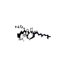 C=C(N)CCC(NC)C(=O)NC1CSC/C=C(/CC/C=C(\C)CCC=C(C)C)NNC1=C